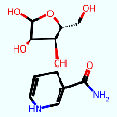 NC(=O)C1=CNC=CC1.OC[C@H]1OC(O)[C@H](O)[C@@H]1O